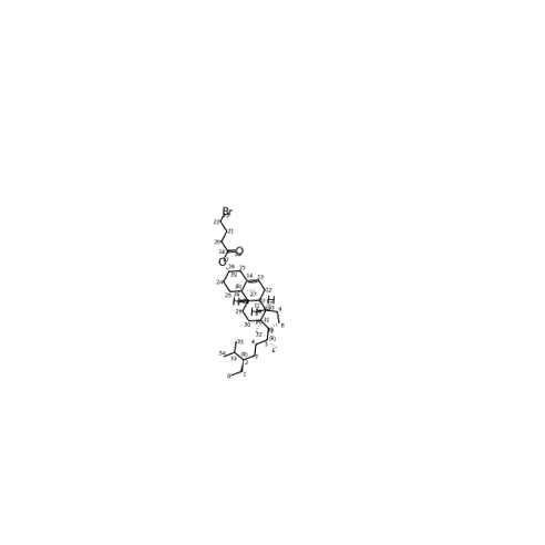 CC[C@H](CC[C@@H](C)[C@H]1CC[C@H]2[C@@H]3CC=C4C[C@@H](OC(=O)CCCBr)CC[C@]4(C)[C@H]3CC[C@]12C)C(C)C